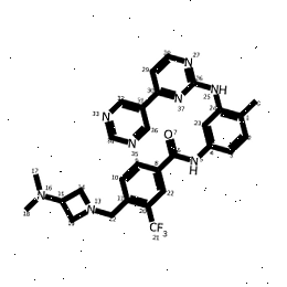 Cc1ccc(NC(=O)c2ccc(CN3CC(N(C)C)C3)c(C(F)(F)F)c2)cc1Nc1nccc(-c2cncnc2)n1